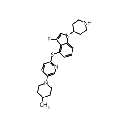 CC1CCN(c2cnc(Sc3cccc4c3c(F)cn4C3CCNCC3)cn2)CC1